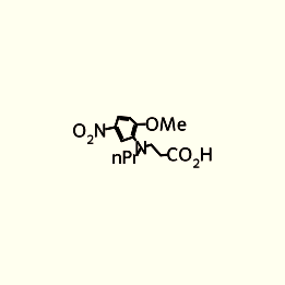 CCCN(CCC(=O)O)c1cc([N+](=O)[O-])ccc1OC